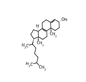 CC(C)CCCC(C)[C@H]1CC[C@H]2C3=C(CC[C@]12C)[C@@]1(C)CC[C@@H](O)C=C1CC3